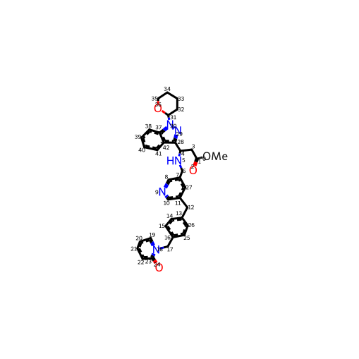 COC(=O)CC(NCc1cncc(Cc2ccc(Cn3ccccc3=O)cc2)c1)c1nn(C2CCCCO2)c2ccccc12